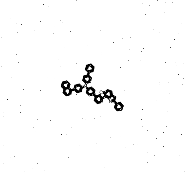 c1ccc(C2=Nc3c(ccc4oc5c(-c6ccc(N(c7ccc(-c8ccccc8)cc7)c7ccc(-c8cccc9ccccc89)cc7)cc6)cccc5c34)C2)cc1